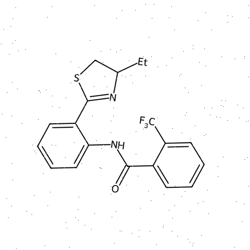 CCC1CSC(c2ccccc2NC(=O)c2ccccc2C(F)(F)F)=N1